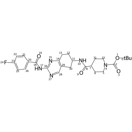 CC(C)(C)OC(=O)N1CCC(C(=O)NC2CCc3nc(NC(=O)c4ccc(F)cc4)ncc3C2)CC1